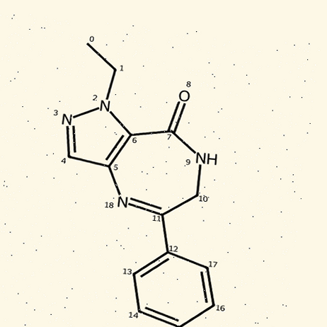 CCn1ncc2c1C(=O)NCC(c1ccccc1)=N2